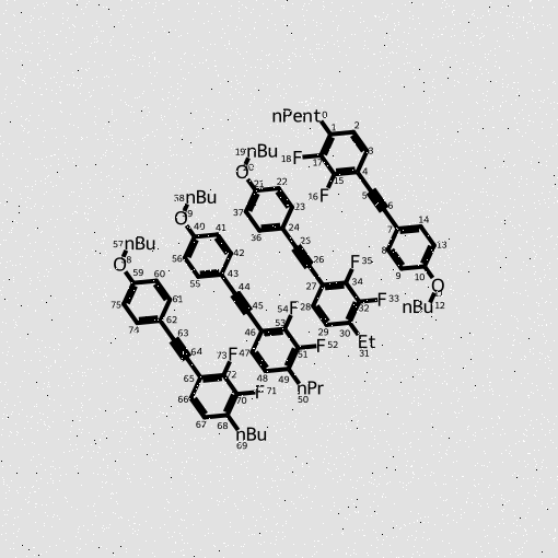 CCCCCc1ccc(C#Cc2ccc(OCCCC)cc2)c(F)c1F.CCCCOc1ccc(C#Cc2ccc(CC)c(F)c2F)cc1.CCCCOc1ccc(C#Cc2ccc(CCC)c(F)c2F)cc1.CCCCOc1ccc(C#Cc2ccc(CCCC)c(F)c2F)cc1